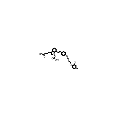 Cc1ccc(OCCCCOc2ccc(C=Cc3cccc4c(CCCC(=O)O)cn(CC(=O)O)c34)cc2)c(Cl)c1